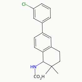 CC1(C)CCc2cc(-c3cccc(Cl)c3)ccc2C1NC(=O)O